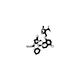 CNC(=O)[C@H]1CCCC[C@H]1C(=O)N1CCc2c(Cl)ccc(OCc3nnn(C)c3C(F)F)c2[C@H]1CN1CCCC1=O